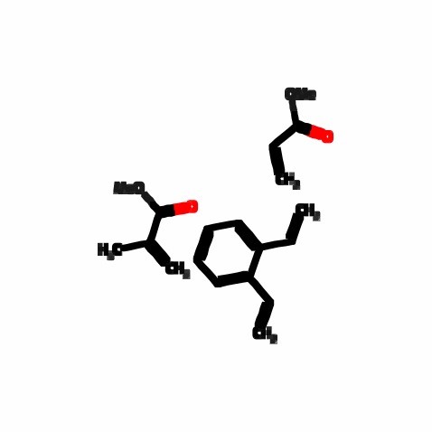 C=C(C)C(=O)OC.C=CC(=O)OC.C=Cc1ccccc1C=C